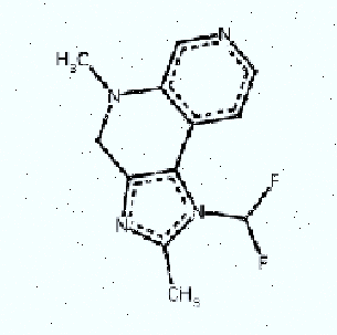 Cc1nc2c(n1C(F)F)-c1ccncc1N(C)C2